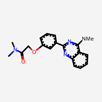 CNc1nc(-c2cccc(OCC(=O)N(C)C)c2)nc2ccccc12